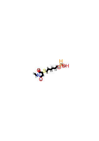 CCN1C(=O)CC(SCCCCCCOPO)C1=O